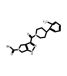 CCC(C)C(=O)N1Cc2[nH]nc(C(=O)N3CCC(c4ccccc4C(F)(F)F)CC3)c2C1